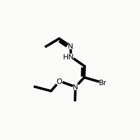 C/C=N\N/C=C(/Br)N(C)OCC